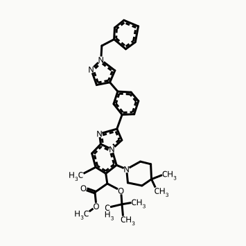 COC(=O)C(OC(C)(C)C)c1c(C)cc2nc(-c3cccc(-c4cnn(Cc5ccccc5)c4)c3)cn2c1N1CCC(C)(C)CC1